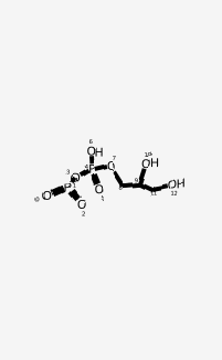 O=P(=O)OP(=O)(O)OCC(O)CO